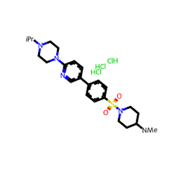 CNC1CCN(S(=O)(=O)c2ccc(-c3ccc(N4CCN(C(C)C)CC4)nc3)cc2)CC1.Cl.Cl.Cl